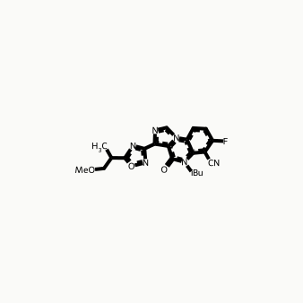 CCC(C)n1c(=O)c2c(-c3noc(C(C)COC)n3)ncn2c2ccc(F)c(C#N)c21